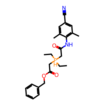 CC[PH](CC)(CC(=O)Nc1c(C)cc(C#N)cc1C)CC(=O)OCc1ccccc1